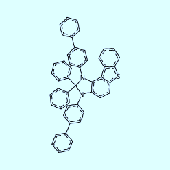 c1ccc(-c2ccc(N3c4ccc5sc6ccccc6c5c4N(c4ccc(-c5ccccc5)cc4)C3(c3ccccc3)c3ccccc3)cc2)cc1